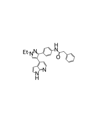 CCn1cc(-c2ccnc3[nH]ccc23)c(-c2ccc(NC(=O)Cc3ccccc3)cc2)n1